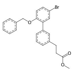 COC(=O)CCc1cccc(-c2cc(Br)ccc2OCc2ccccc2)c1